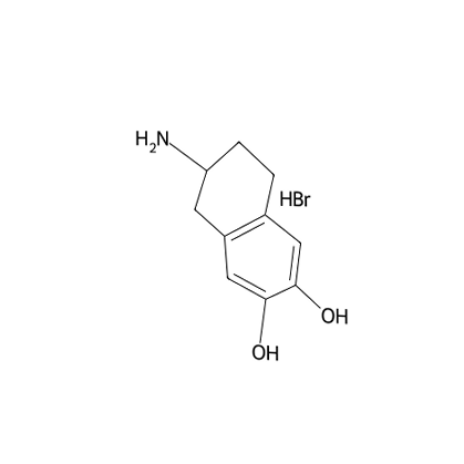 Br.NC1CCc2cc(O)c(O)cc2C1